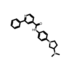 CN(C)C1CCN(c2ccc(NC(=O)c3ccnc(-c4ccccc4)c3)cc2)C1